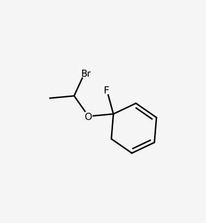 CC(Br)OC1(F)C=CC=CC1